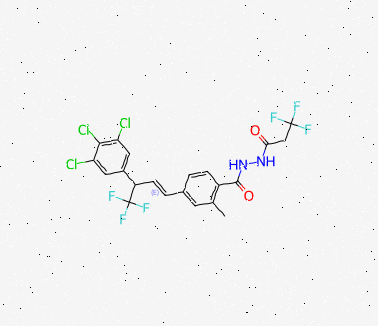 Cc1cc(/C=C/C(c2cc(Cl)c(Cl)c(Cl)c2)C(F)(F)F)ccc1C(=O)NNC(=O)CC(F)(F)F